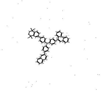 CC1(C)CCC(C)(C)c2cc(-c3ccc(N(c4ccc(-c5ccc6ccccc6c5)cc4)c4ccc(-c5cc6ccccc6c6ccccc56)cc4)cc3)ccc21